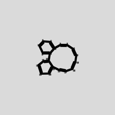 C1=CC=Cc2ccccc2-c2ccccc2C=CC=C1